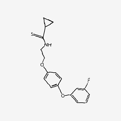 Fc1cccc(Oc2ccc(OCCNC(=S)C3CC3)cc2)c1